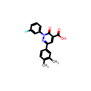 Cc1ccc(-c2cc(C(=O)O)c(=O)n(-c3cccc(F)c3)n2)cc1C